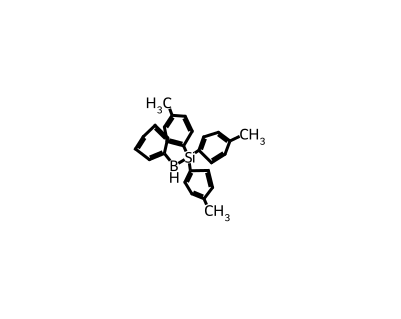 Cc1ccc([Si](Bc2ccccc2)(c2ccc(C)cc2)c2ccc(C)cc2)cc1